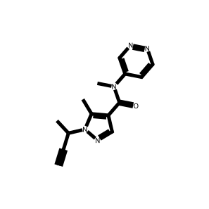 C#CC(C)n1ncc(C(=O)N(C)c2ccnnc2)c1C